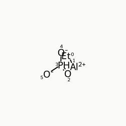 C[CH2][Al+2].O=[PH]([O-])[O-]